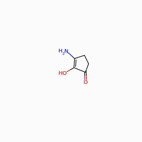 NC1=C(O)C(=O)CC1